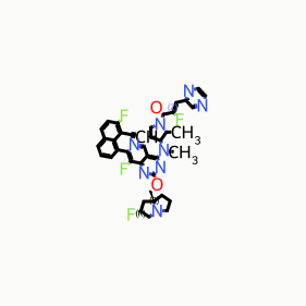 C#Cc1c(F)ccc2cccc(-c3ncc4c(N(C)C5CCN(C(=O)/C(F)=C/c6cnccn6)C5C)nc(OC[C@@]56CCCN5C[C@H](F)C6)nc4c3F)c12